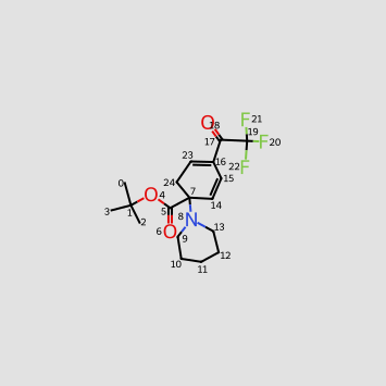 CC(C)(C)OC(=O)C1(N2CCCCC2)C=CC(C(=O)C(F)(F)F)=CC1